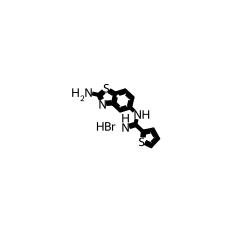 Br.N=C(Nc1ccc2sc(N)nc2c1)c1cccs1